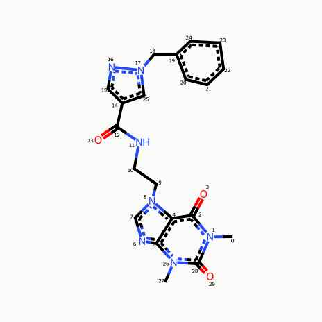 Cn1c(=O)c2c(ncn2CCNC(=O)c2cnn(Cc3ccccc3)c2)n(C)c1=O